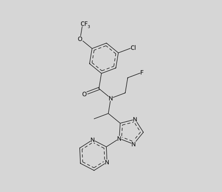 CC(c1ncnn1-c1ncccn1)N(CCF)C(=O)c1cc(Cl)cc(OC(F)(F)F)c1